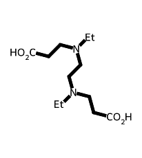 CCN(CCC(=O)O)CCN(CC)CCC(=O)O